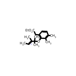 C/C=C(\C)C(C)(C)Oc1c(CC(=O)OCC)ccc(C)c1C